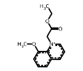 CCOC(=O)C[n+]1cccc2cccc(OC)c21